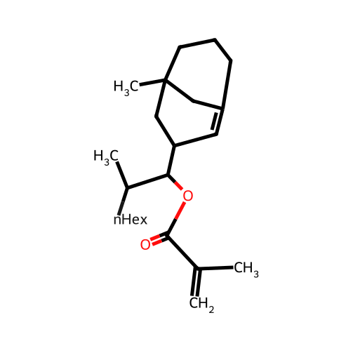 C=C(C)C(=O)OC(C(C)CCCCCC)C1C=C2CCCC(C)(C2)C1